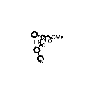 COC(=O)Cc1cn(-c2ccccc2)c(NC(=O)c2cccc(-c3ccncc3)c2)n1